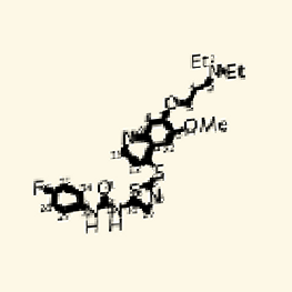 CCN(CC)CCCOc1cc2nccc(Sc3ncc(NC(=O)Nc4ccc(F)cc4)s3)c2cc1OC